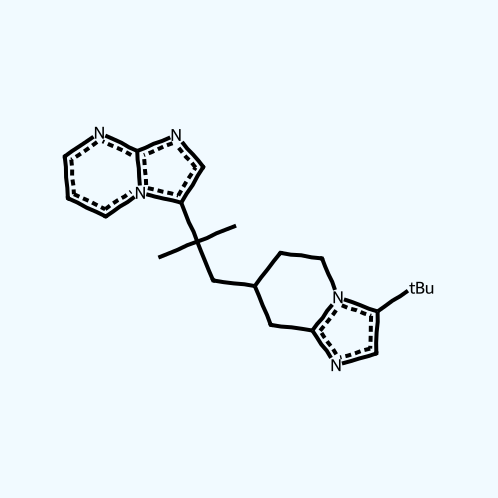 CC(C)(C)c1cnc2n1CCC(CC(C)(C)c1cnc3ncccn13)C2